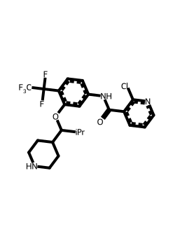 CC(C)C(Oc1cc(NC(=O)c2cccnc2Cl)ccc1C(F)(F)C(F)(F)F)C1CCNCC1